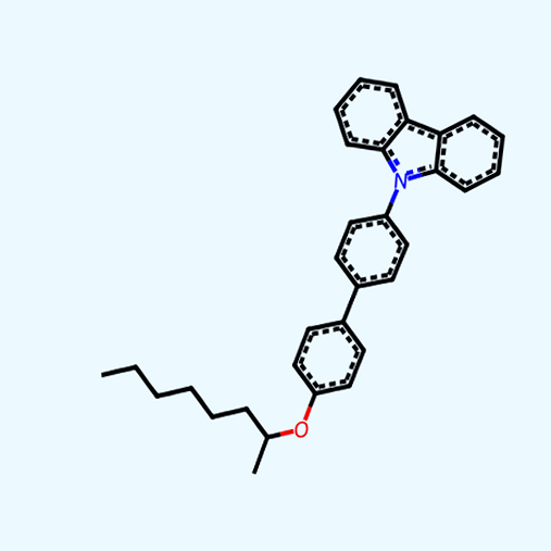 CCCCCCC(C)Oc1ccc(-c2ccc(-n3c4ccccc4c4ccccc43)cc2)cc1